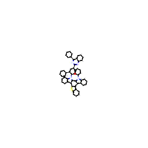 c1ccc(-c2cc(-c3nc(-c4ccccc4)c4ccccc4n3)ccc2-n2c3ccccc3c3c4sc5ccccc5c4c4c5ccccc5n(-c5ccccc5)c4c32)cc1